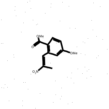 COC(=O)c1ccc(OC)cc1C=C(C)[N+](=O)[O-]